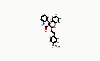 COc1ccc(C=CC(=O)c2c(-c3ccccc3)c3ccccc3[nH]c2=O)cc1